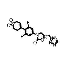 O=C1O[C@@H](Cn2ncnn2)CN1c1cc(F)c(C2=CCS(=O)(=O)CC2)c(F)c1